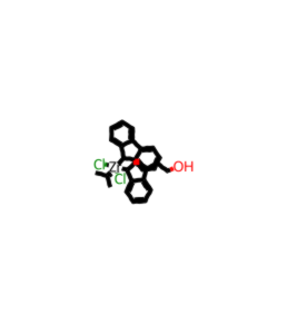 C[C](C)=[Zr]([Cl])([Cl])([CH]1C=C(CCO)c2ccccc21)[CH]1c2ccccc2-c2ccccc21